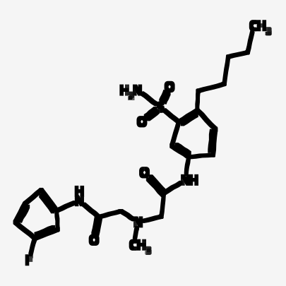 CCCCCc1ccc(NC(=O)CN(C)CC(=O)Nc2cccc(F)c2)cc1S(N)(=O)=O